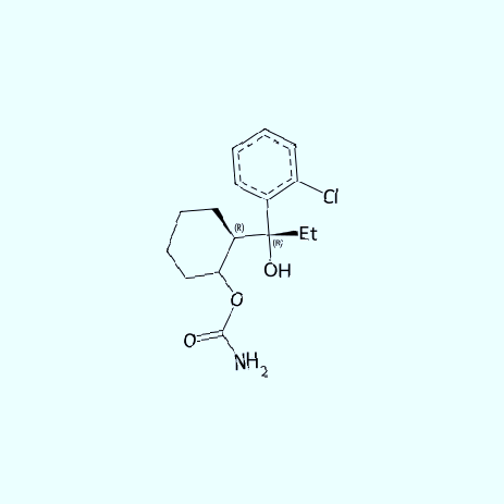 CC[C@](O)(c1ccccc1Cl)[C@@H]1CCCCC1OC(N)=O